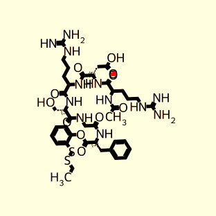 CCSSc1ccccc1OC(=O)[C@H](Cc1ccccc1)NC(=O)CNC(=O)[C@H](CO)NC(=O)C(CCCNC(=N)N)NC(=O)[C@H](CC(=O)O)NC(=O)C(CCCNC(=N)N)NC(C)=O